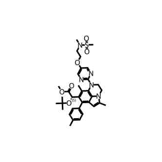 COC(=O)[C@@H](OC(C)(C)C)c1c(C)c2c3c(cc(C)n3CCN2c2ncc(OCCN(C)S(C)(=O)=O)cn2)c1-c1ccc(C)cc1